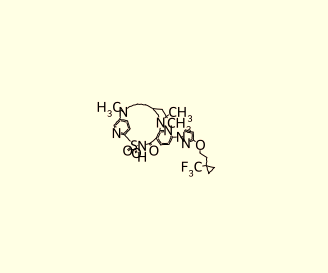 CN1CCCC2CN(c3nc(-n4ccc(OCCC5(C(F)(F)F)CC5)n4)ccc3C(=O)NS(=O)(=O)c3ccc1cn3)C(C)(C)C2